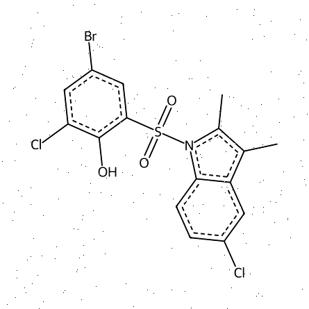 Cc1c(C)n(S(=O)(=O)c2cc(Br)cc(Cl)c2O)c2ccc(Cl)cc12